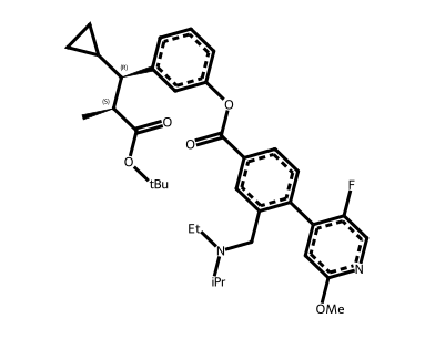 CCN(Cc1cc(C(=O)Oc2cccc([C@H](C3CC3)[C@H](C)C(=O)OC(C)(C)C)c2)ccc1-c1cc(OC)ncc1F)C(C)C